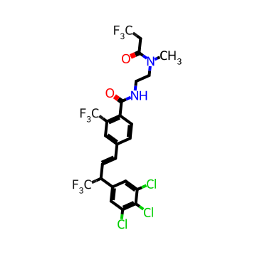 CN(CCNC(=O)c1ccc(C=CC(c2cc(Cl)c(Cl)c(Cl)c2)C(F)(F)F)cc1C(F)(F)F)C(=O)CC(F)(F)F